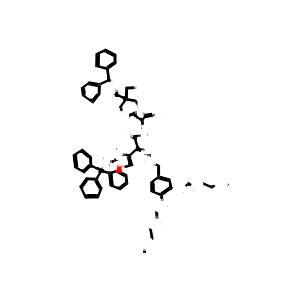 COCCOCOc1ccc(CON=C(C(=O)NC2C(=O)N3CC(CCl)(C(=O)OC(c4ccccc4)c4ccccc4)CS[C@H]23)c2csc(NC(c3ccccc3)(c3ccccc3)c3ccccc3)n2)cc1OCOCCOC